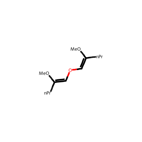 CCCC(=COC=C(CCC)OC)OC